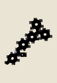 Cc1ccc(/C(C#N)=C/c2ccc(-c3ccc(N(c4ccccc4)c4ccccc4)cc3)cc2)cc1